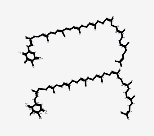 CC(C)=CCC/C(C)=C/CC/C(C)=C/CC/C(C)=C\CC/C(C)=C/CC/C(C)=C/CC/C(C)=C/CC/C(C)=C/CC/C(C)=C/CC1=CC(=O)C(C)=C(C)C1=O.CC(C)=CCC/C(C)=C/CC/C(C)=C/CC/C(C)=C\CC/C(C)=C/CC/C(C)=C/CC/C(C)=C/CC/C(C)=C/CC/C(C)=C/CC1=CC(=O)C(C)=C(C)C1=O